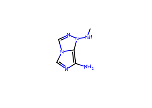 CNn1ncn2cnc(N)c12